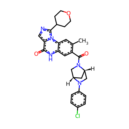 Cc1cc2c(cc1C(=O)N1C[C@@H]3C[C@H]1CN3c1ccc(Cl)cc1)[nH]c(=O)c1cnc(C3CCOCC3)n12